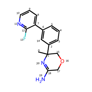 CC1(c2cccc(-c3cccnc3F)c2)COCC(N)=N1